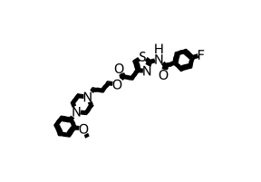 COc1ccccc1N1CCN(CCCOC(=O)Cc2csc(NC(=O)c3ccc(F)cc3)n2)CC1